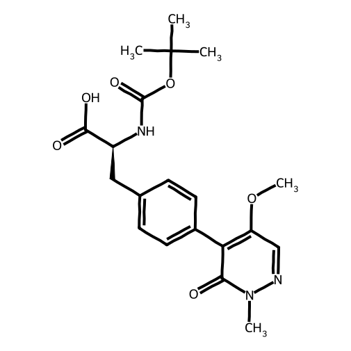 COc1cnn(C)c(=O)c1-c1ccc(C[C@H](NC(=O)OC(C)(C)C)C(=O)O)cc1